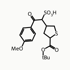 COc1ccc(C(=O)C(C2CSC(C(=O)OC(C)(C)C)C2)S(=O)(=O)O)cc1